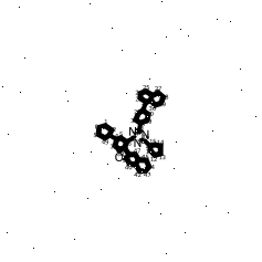 c1ccc(-c2cc(-c3nc(-c4ccccc4)nc(-c4ccc(-c5cccc6ccccc56)cc4)n3)c3c(c2)oc2cc4ccccc4cc23)cc1